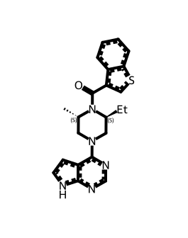 CC[C@H]1CN(c2ncnc3[nH]ccc23)C[C@H](C)N1C(=O)c1csc2ccccc12